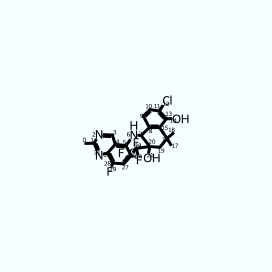 Cc1ncc2c(NC3c4ccc(Cl)c(O)c4C(C)(C)CC3(O)C(F)(F)C(F)(F)F)ccc(F)c2n1